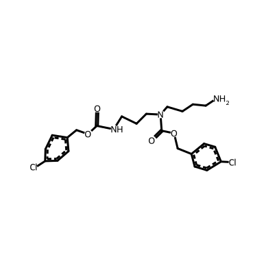 NCCCCN(CCCNC(=O)OCc1ccc(Cl)cc1)C(=O)OCc1ccc(Cl)cc1